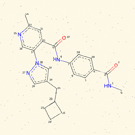 CNC(=O)c1ccc(NC(=O)c2cc(C)ncc2-n2cc(CC3CCC3)cn2)cc1